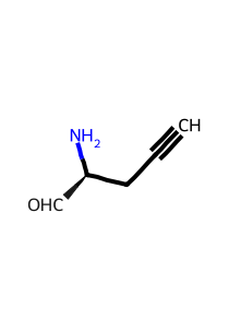 C#CC[C@H](N)C=O